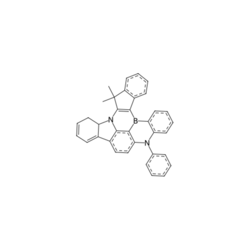 CC1(C)C2=C(B3c4ccccc4N(c4ccccc4)c4ccc5c(c43)N2C2CC=CC=C52)c2ccccc21